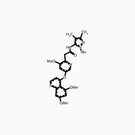 COc1cc(OC)c2c(Oc3cnc(CC(=O)Nc4c(C)c(C)nn4C(C)(C)C)c(OC)c3)ccnc2c1